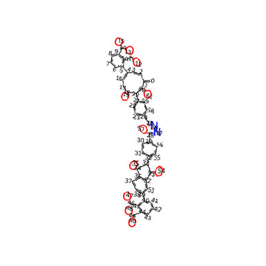 C=C1/C=C\C(c2cccc3c2C(=O)OC3=O)=C/CC(=O)C(c2ccc(-c3nnc(-c4ccc(C5C(=O)c6ccc(-c7cccc8c7C(=O)OC8=O)cc6C5=O)cc4)o3)cc2)C1=O